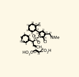 C=CC(c1cccnc1)S(=O)(=O)n1c(-c2ccccc2F)cc(CNC)c1Cl.O=C(O)/C=C/C(=O)O